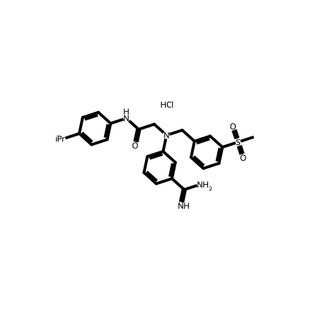 CC(C)c1ccc(NC(=O)CN(Cc2cccc(S(C)(=O)=O)c2)c2cccc(C(=N)N)c2)cc1.Cl